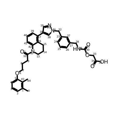 Cc1cccc(OCCCC(=O)N2CCCc3c(-c4cnn(Cc5cccc(CNC(=O)OCC(=O)O)c5)c4)cccc32)c1C